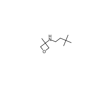 CC(C)(C)CCNC1(C)COC1